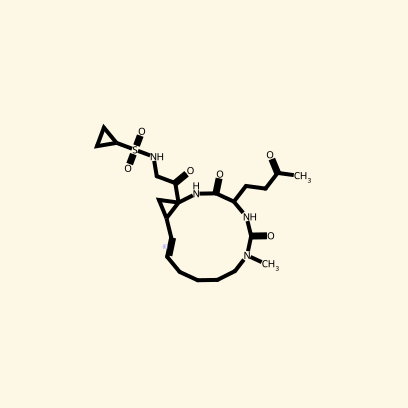 CC(=O)CCC1NC(=O)N(C)CCCC/C=C/C2CC2(C(=O)CNS(=O)(=O)C2CC2)NC1=O